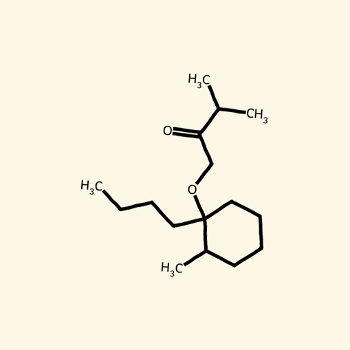 CCCCC1(OCC(=O)C(C)C)CCCCC1C